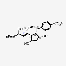 C=C[C@H](c1ccc(C(=O)O)cc1)[C@@H]1[C@H](O)CC(O)[C@H]1/C=C/C(O)CCCCC